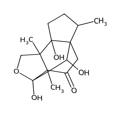 CC1CCC2(O)C13CC(=O)C1(C)C(O)(OCC21C)C3O